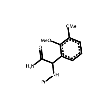 COc1cccc(C(NC(C)C)C(N)=O)c1OC